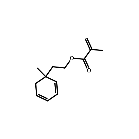 C=C(C)C(=O)OCCC1(C)C=CC=CC1